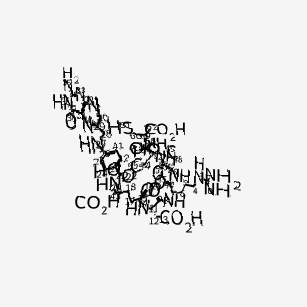 N=C(N)NCCC[C@@H](NC(=O)[C@H](CC(=O)O)NC(=O)CC[C@H](NC(=O)c1ccc(NCc2cnc3nc(N)[nH]c(=O)c3n2)cc1)C(=O)O)C(=O)N[C@@H](CC(=O)O)C(=O)N[C@@H](CC(=O)O)C(=O)N[C@@H](CS)C(=O)O